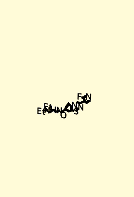 CCN(CC)CCCNC(=O)c1ccc2c(c1)sc1nc(-c3ccncc3F)cn12